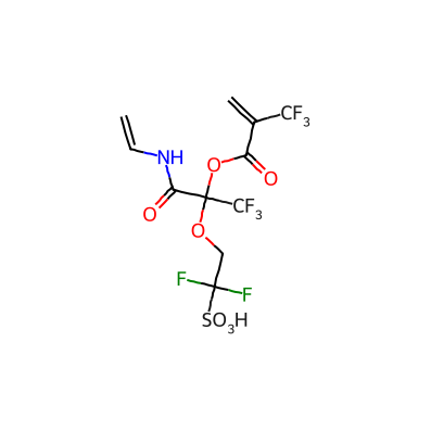 C=CNC(=O)C(OCC(F)(F)S(=O)(=O)O)(OC(=O)C(=C)C(F)(F)F)C(F)(F)F